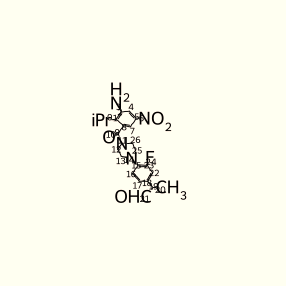 CC(C)c1c(N)cc([N+](=O)[O-])cc1C(=O)N1CCN(c2ccc(C(C)C=O)cc2F)CC1